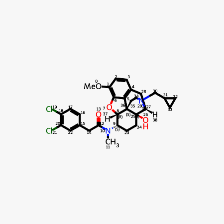 COc1ccc2c3c1O[C@H]1[C@@H](N(C)C(=O)Cc4ccc(Cl)c(Cl)c4)CC[C@@]4(O)[C@@H](C2)N(CC2CC2)CC[C@]314